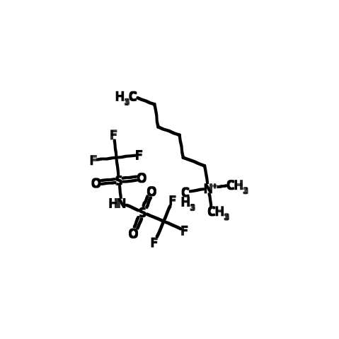 CCCCCC[N+](C)(C)C.O=S(=O)(NS(=O)(=O)C(F)(F)F)C(F)(F)F